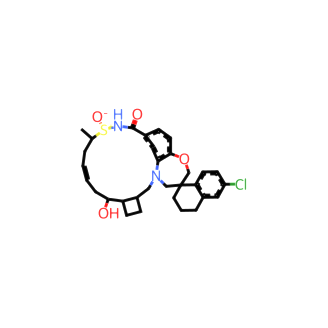 CC1C/C=C\CC(O)C2CCC2CN2CC3(CCCc4cc(Cl)ccc43)COc3ccc(cc32)C(=O)N[S+]1[O-]